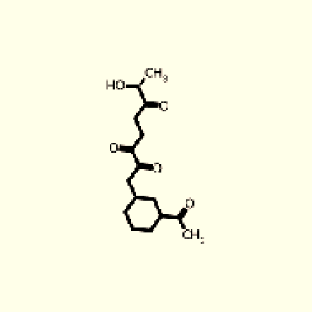 CC(=O)C1CCCC(CC(=O)C(=O)CCC(=O)[C@H](C)O)C1